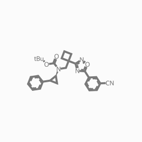 CC(C)(C)OC(=O)N(CC1(c2noc(-c3cccc(C#N)c3)n2)CCC1)[C@H]1CC1c1ccccc1